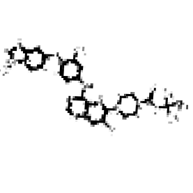 Cc1cc(Nc2ncnc3cc(Br)c(N4CCN(C(=O)OC(C)(C)C)CC4)nc23)ccc1Oc1ccn2c(c1)nc[n+]2C